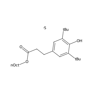 CCCCCCCCOC(=O)CCc1cc(C(C)(C)C)c(O)c(C(C)(C)C)c1.[S]